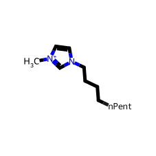 CCCCCCCCCn1cc[n+](C)c1